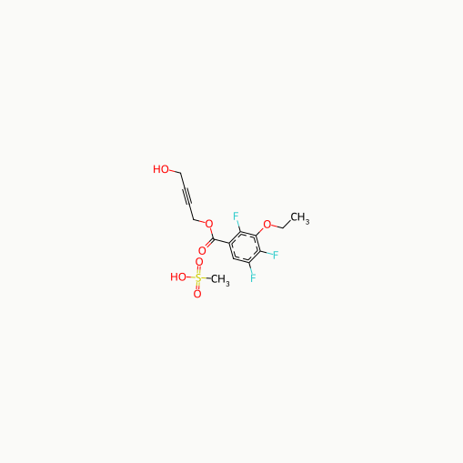 CCOc1c(F)c(F)cc(C(=O)OCC#CCO)c1F.CS(=O)(=O)O